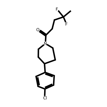 CC(F)(F)CCC(=O)N1CCC(c2ccc(Cl)cc2)CC1